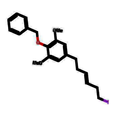 COc1cc(CCC=CCCI)cc(OC)c1OCc1ccccc1